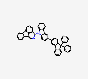 c1ccc(C2(c3ccccc3)c3ccccc3-c3cc(-c4ccc5c(c4)c4ccccc4n5-c4ncc5c6c(cccc46)-c4ccccc4-5)ccc32)cc1